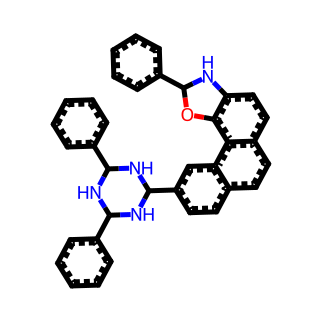 c1ccc(C2NC(c3ccccc3)NC(c3ccc4ccc5ccc6c(c5c4c3)OC(c3ccccc3)N6)N2)cc1